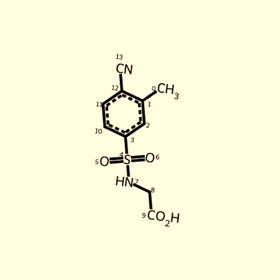 Cc1cc(S(=O)(=O)NCC(=O)O)ccc1C#N